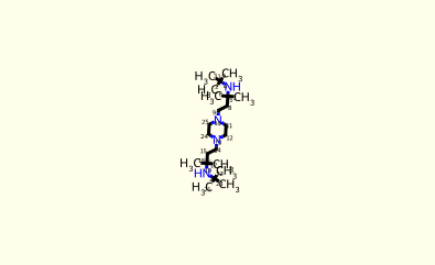 CC(C)(C)NC(C)(C)CCN1CCN(CCC(C)(C)NC(C)(C)C)CC1